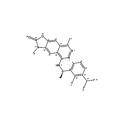 Cc1nnc(N[C@H](C)c2cccc(C(F)F)c2F)c2cc3c(cc12)oc(=O)n3C